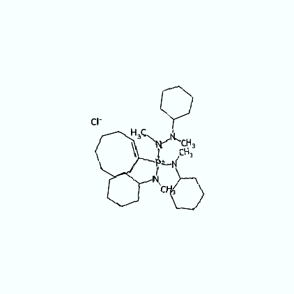 CN(C1CCCCC1)N(C)[P+](C1=CCCCCCC1)(N(C)C1CCCCC1)N(C)C1CCCCC1.[Cl-]